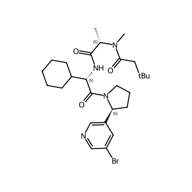 C[C@@H](C(=O)N[C@H](C(=O)N1CCC[C@H]1c1cncc(Br)c1)C1CCCCC1)N(C)C(=O)CC(C)(C)C